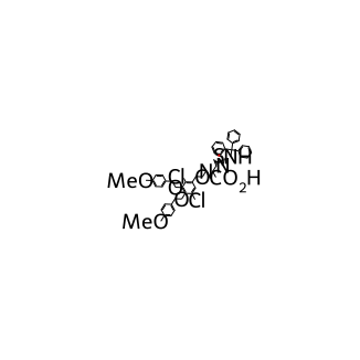 COc1ccc(COc2c(Cl)cc(CO/N=C(\C(=O)O)c3csc(NC(c4ccccc4)(c4ccccc4)c4ccccc4)n3)c(Cl)c2OCc2ccc(OC)cc2)cc1